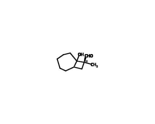 C[C@]1(C=O)CC2CCCCCC21O